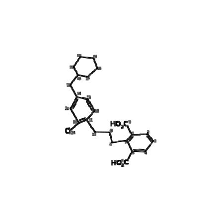 O=C(O)c1cccc(C(=O)O)c1CCCc1ccc(CC2CCCCC2)cc1Cl